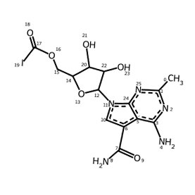 Cc1nc(N)c2c(C(N)=O)cn(C3OC(COC(=O)I)C(O)C3O)c2n1